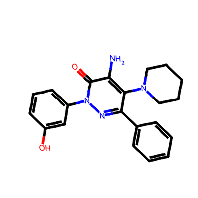 Nc1c(N2CCCCC2)c(-c2ccccc2)nn(-c2cccc(O)c2)c1=O